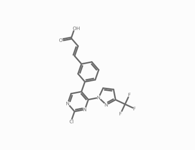 O=C(O)C=Cc1cccc(-c2cnc(Cl)nc2-n2ccc(C(F)(F)F)n2)c1